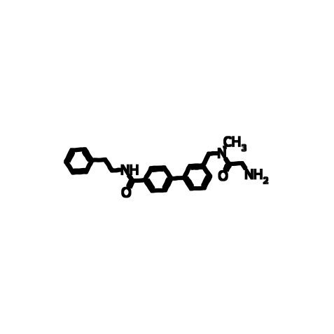 CN(Cc1cccc(-c2ccc(C(=O)NCCc3ccccc3)cc2)c1)C(=O)CN